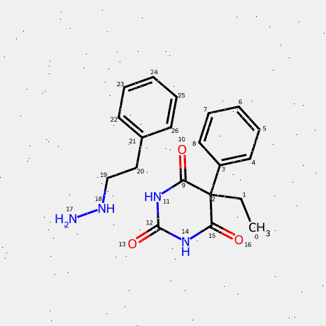 CCC1(c2ccccc2)C(=O)NC(=O)NC1=O.NNCCc1ccccc1